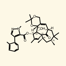 CC1=C[C@]23C(=O)[C@@H](C=C4COC(C)(C)O[C@H]4[C@]2(O)[C@H]1OC(=O)c1c(-c2ccccc2C)cnn1C)CC(C)(C)[C@@H](C)C[C@H]3C